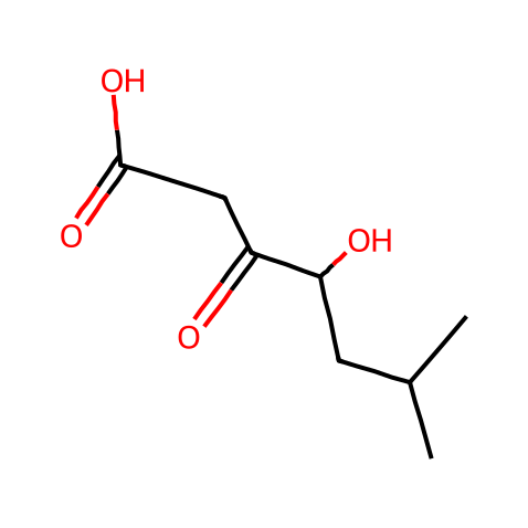 CC(C)CC(O)C(=O)CC(=O)O